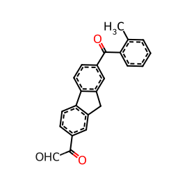 Cc1ccccc1C(=O)c1ccc2c(c1)Cc1cc(C(=O)C=O)ccc1-2